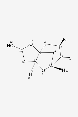 CC1[C@H](C)C[C@]23C[C@H]1O[C@H]2CC(O)O3